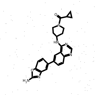 Nc1nc2cc(-c3ccc4ncnc(NC5CCN(C(=O)C6CC6)CC5)c4c3)ccc2o1